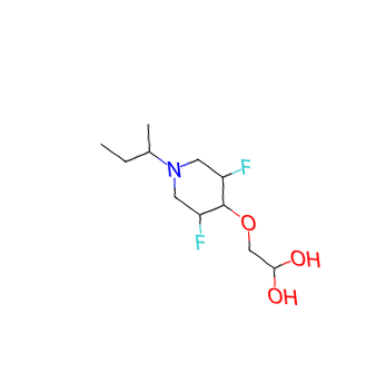 CCC(C)N1CC(F)C(OCC(O)O)C(F)C1